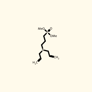 C=CCN(CC=C)CCCP(=O)(OC)OC